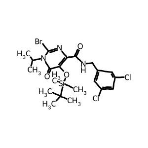 CC(C)n1c(Br)nc(C(=O)NCc2cc(Cl)cc(Cl)c2)c(O[Si](C)(C)C(C)(C)C)c1=O